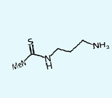 CNC(=S)NCCCN